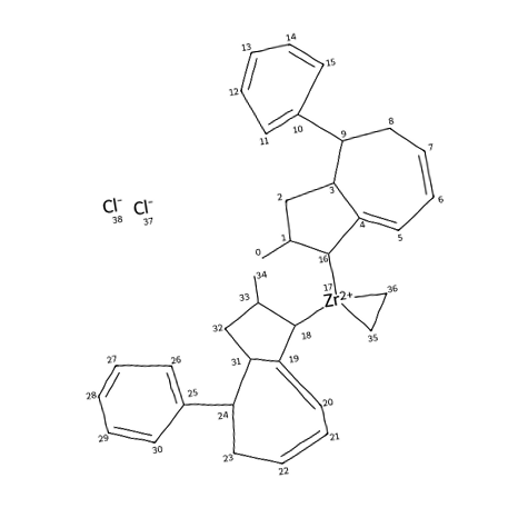 CC1CC2C(=CC=CCC2c2ccccc2)[CH]1[Zr+2]1([CH]2C3=CC=CCC(c4ccccc4)C3CC2C)[CH2][CH2]1.[Cl-].[Cl-]